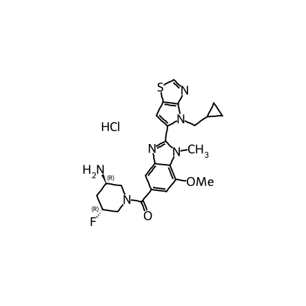 COc1cc(C(=O)N2C[C@H](N)C[C@@H](F)C2)cc2nc(-c3cc4scnc4n3CC3CC3)n(C)c12.Cl